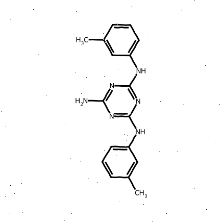 Cc1cccc(Nc2nc(N)nc(Nc3cccc(C)c3)n2)c1